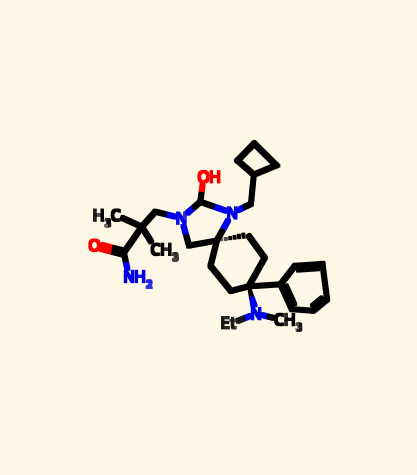 CCN(C)[C@]1(c2ccccc2)CC[C@]2(CC1)CN(CC(C)(C)C(N)=O)C(O)N2CC1CCC1